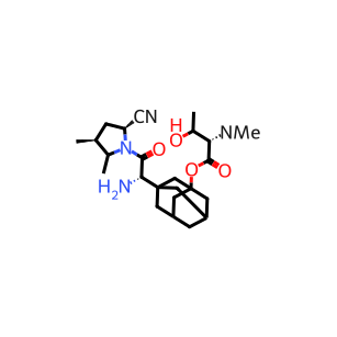 CN[C@H](C(=O)OC12CC3CC(C1)CC([C@H](N)C(=O)N1C(C)[C@@H](C)C[C@H]1C#N)(C3)C2)C(C)O